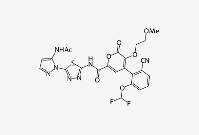 COCCOc1c(-c2c(C#N)cccc2OC(F)F)cc(C(=O)Nc2nnc(-n3nccc3NC(C)=O)s2)oc1=O